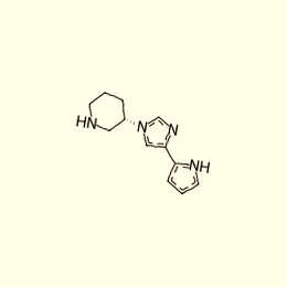 c1c[nH]c(-c2cn([C@H]3CCCNC3)cn2)c1